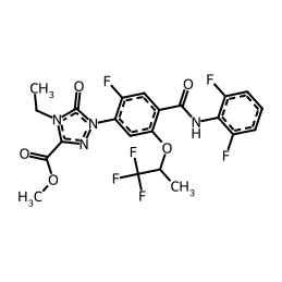 CCn1c(C(=O)OC)nn(-c2cc(OC(C)C(F)(F)F)c(C(=O)Nc3c(F)cccc3F)cc2F)c1=O